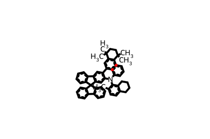 Cc1ccc2c(c1N(c1ccccc1)c1cc3c(cc1-c1ccc4c(c1)C(C)(C)CCC4(C)C)-c1ccccc1C31c3ccccc3-c3ccccc31)CCCC2